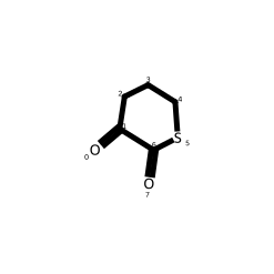 O=C1[CH]CCSC1=O